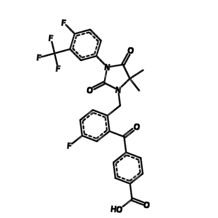 CC1(C)C(=O)N(c2ccc(F)c(C(F)(F)F)c2)C(=O)N1Cc1ccc(F)cc1C(=O)c1ccc(C(=O)O)cc1